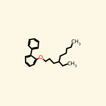 CCCCCC(CC)CCCOc1ccccc1-c1ccccc1